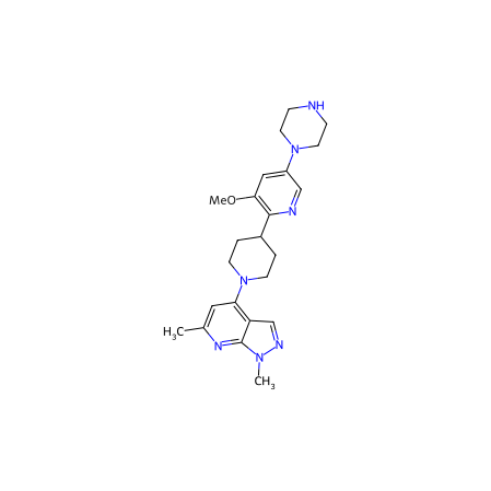 COc1cc(N2CCNCC2)cnc1C1CCN(c2cc(C)nc3c2cnn3C)CC1